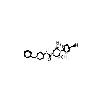 C[C@@H]1CN(C(=O)NC2CCN(Cc3ccccc3)CC2)C[C@@H](C)N1c1ncc(C#N)cn1